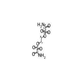 NC(=O)S(=O)(=O)OCCOS(=O)(=O)C(N)=O